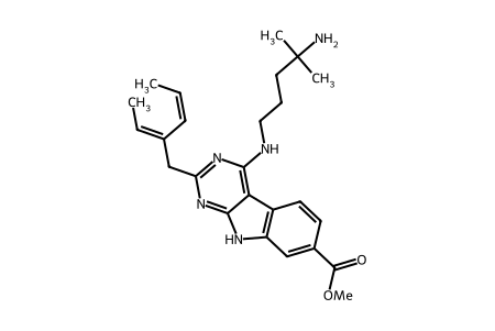 C/C=C\C(=C/C)Cc1nc(NCCCC(C)(C)N)c2c(n1)[nH]c1cc(C(=O)OC)ccc12